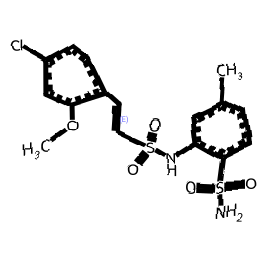 COc1cc(Cl)ccc1/C=C/S(=O)(=O)Nc1cc(C)ccc1S(N)(=O)=O